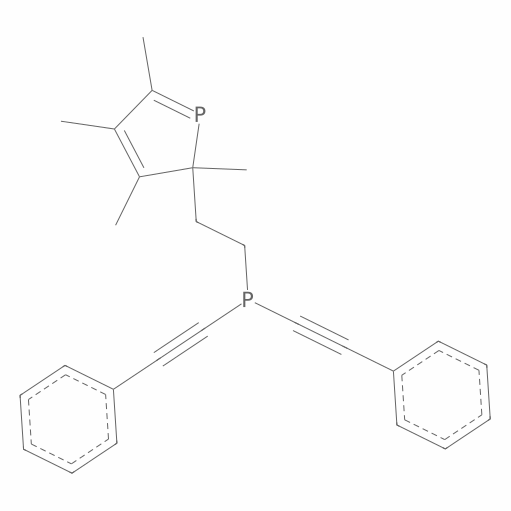 CC1=PC(C)(CCP(C#Cc2ccccc2)C#Cc2ccccc2)C(C)=C1C